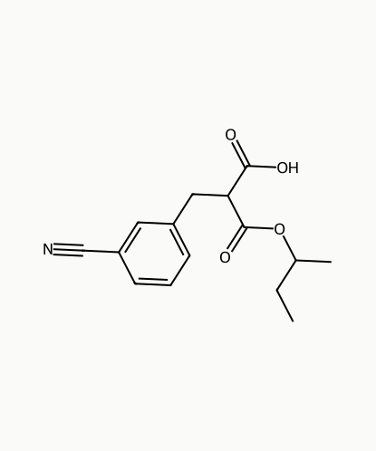 CCC(C)OC(=O)C(Cc1cccc(C#N)c1)C(=O)O